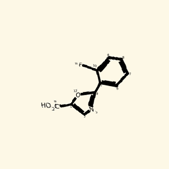 O=C(O)c1cnc(-c2ccccc2F)o1